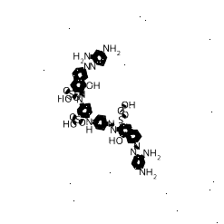 Nc1ccc(N=Nc2ccc3cc(SOOO)c(N=Nc4ccc(Nc5ccc(N=Nc6c(S(=O)(=O)O)cc7ccc(N=Nc8ccc(N)cc8N)cc7c6O)cc5S(=O)(=O)O)cc4)c(O)c3c2)c(N)c1